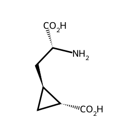 N[C@H](C[C@@H]1C[C@H]1C(=O)O)C(=O)O